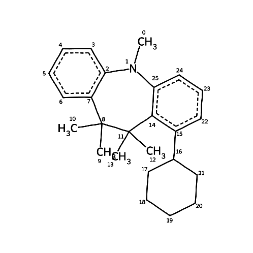 CN1c2ccccc2C(C)(C)C(C)(C)c2c(C3CCCCC3)cccc21